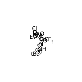 CC[S+]([O-])c1ccc(Cl)cc1CNC(=O)c1ccc(CN2CCC[C@@H](NC(=O)OC(C)(C)C)C2)c(OC(F)(F)F)c1